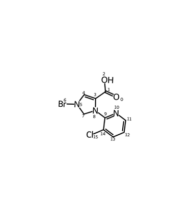 O=C(O)C1=CN(Br)CN1c1ncccc1Cl